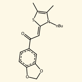 CCCCN1C(C)=C(C)S/C1=C\C(=O)c1ccc2c(c1)OCO2